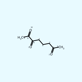 CC(=O)CCCC(=O)C(C)=O